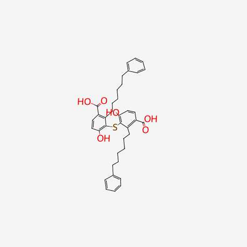 O=C(O)c1ccc(O)c(Sc2c(O)ccc(C(=O)O)c2CCCCCCc2ccccc2)c1CCCCCCc1ccccc1